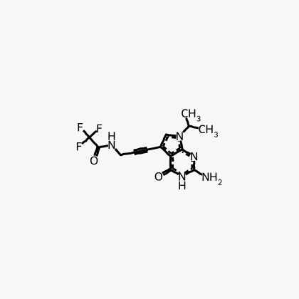 CC(C)n1cc(C#CCNC(=O)C(F)(F)F)c2c(=O)[nH]c(N)nc21